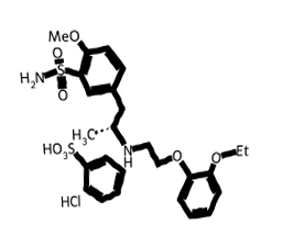 CCOc1ccccc1OCCN[C@H](C)Cc1ccc(OC)c(S(N)(=O)=O)c1.Cl.O=S(=O)(O)c1ccccc1